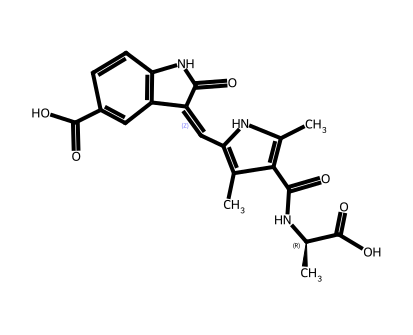 Cc1[nH]c(/C=C2\C(=O)Nc3ccc(C(=O)O)cc32)c(C)c1C(=O)N[C@H](C)C(=O)O